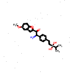 COc1ccc2oc(C(=O)C(N)c3ccc(C=C[Si](O)(O)C(C)C)cc3)cc2c1